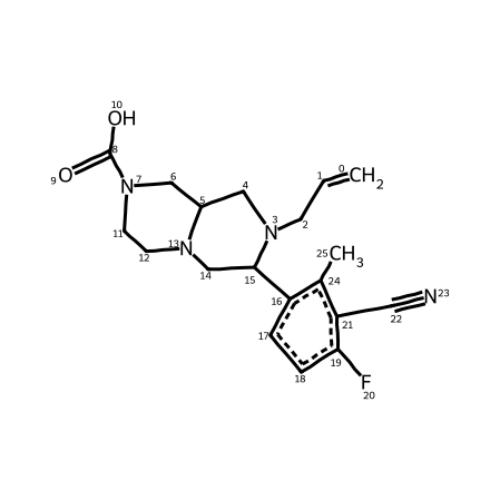 C=CCN1CC2CN(C(=O)O)CCN2CC1c1ccc(F)c(C#N)c1C